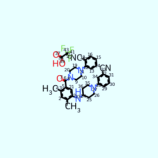 Cc1cc(C)c(C(=O)N2CCN(c3ccccc3C#N)CC2)cc1NC1CCN(c2cccc(C#N)c2)CC1.O=C(O)C(F)(F)F